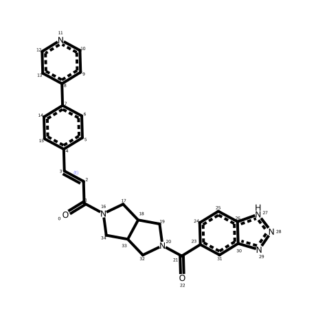 O=C(/C=C/c1ccc(-c2ccncc2)cc1)N1CC2CN(C(=O)c3ccc4[nH]nnc4c3)CC2C1